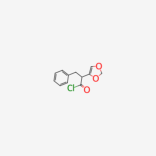 O=C(Cl)C(Cc1ccccc1)C1=COCO1